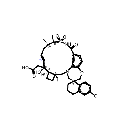 C[C@@H]1[C@@H](C)C/C=C/[C@@](O)(CC(=O)O)[C@@H]2CC[C@H]2CN2C[C@@]3(CCCc4cc(Cl)ccc43)COc3ccc(cc32)C(=O)NS1(=O)=O